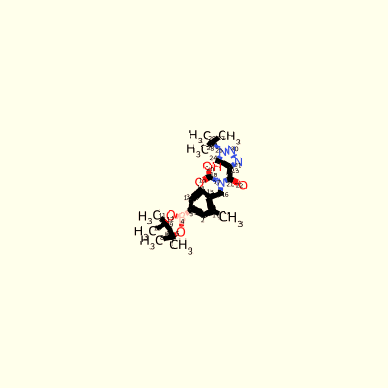 Cc1cc(B2OC(C)(C)C(C)(C)O2)ccc1CN(C(=O)O)C(=O)c1cn(C(C)(C)C)nn1